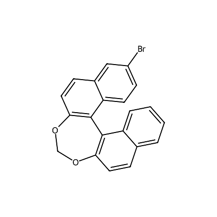 Brc1ccc2c3c(ccc2c1)OCOc1ccc2ccccc2c1-3